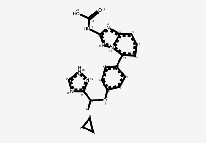 C1CC1.CC(Oc1ccc(-c2cccc3nc(NC(=O)O)nn23)cc1)c1nc[nH]n1